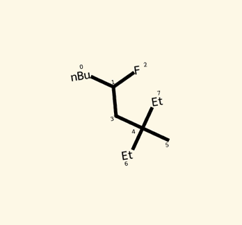 CCCCC(F)CC(C)(CC)CC